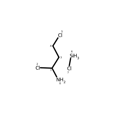 NC(Cl)CCCl.[SiH3]Cl